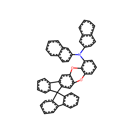 c1ccc2c(c1)-c1ccccc1C21c2ccccc2-c2cc3c(cc21)Oc1cccc(N(c2ccc4ccccc4c2)c2ccc4ccccc4c2)c1O3